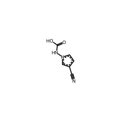 N#Cc1ccn(NC(=O)O)c1